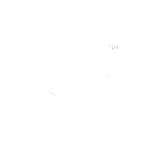 CCc1ccccc1CCC([NH])=O